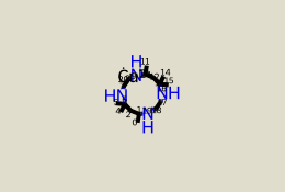 CC1CC(C)(C)NCCNC(C)CC(C)(C)NCCN1.[Cu+2]